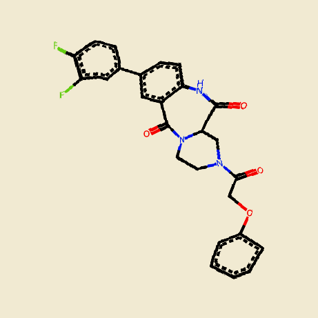 O=C1Nc2ccc(-c3ccc(F)c(F)c3)cc2C(=O)N2CCN(C(=O)COc3ccccc3)CC12